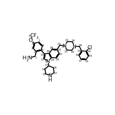 NCc1cc(OC(F)(F)F)ccc1-c1cn(C2CCNCC2)c2ccc(CN3CCN(Cc4ccccc4Cl)CC3)cc12